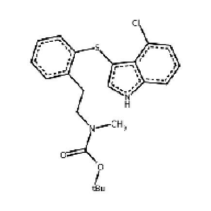 CN(CCc1ccccc1Sc1c[nH]c2cccc(Cl)c12)C(=O)OC(C)(C)C